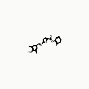 Cc1cc(/N=N/c2ccc(C(=O)OC3=C(F)CCC=C3)o2)cc(C)c1O